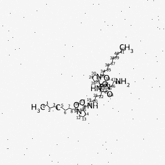 CCCCCCCCCC(=O)N1CCCC1C(=O)NCCCCC(NC(=O)C1CCCN1C(=O)CCCCCCCCC)C(=O)NCCN